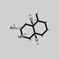 CC(=O)[C@@H]1C[C@@H]2C(C)CCC[C@@H]2CN1